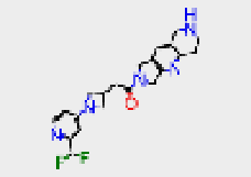 O=C(CC1CN(c2ccnc(C(F)F)c2)C1)N1Cc2cc3c(nc2C1)CCNC3